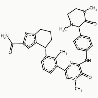 Cc1c(-c2cn(C)c(=O)c(Nc3ccc(C4C(=O)N(C)CCN4C)cc3)n2)cccc1[C@H]1CCCc2sc(C(N)=O)cc21